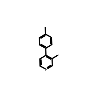 Cc1ccc(-c2ccncc2I)cc1